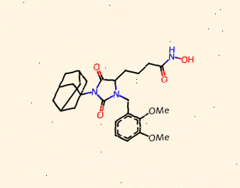 COc1cccc(CN2C(=O)N(C34CC5CC(CC(C5)C3)C4)C(=O)C2CCCC(=O)NO)c1OC